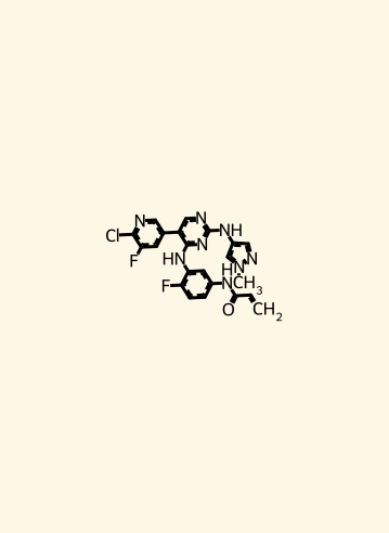 C=CC(=O)Nc1ccc(F)c(Nc2nc(Nc3cnn(C)c3)ncc2-c2cnc(Cl)c(F)c2)c1